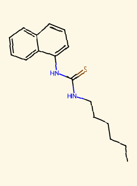 CCCCCCNC(=S)Nc1cccc2ccccc12